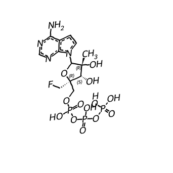 C[C@]1(O)C(n2ccc3c(N)ncnc32)O[C@](CF)(COP(=O)(O)OP(=O)(O)OP(=O)(O)O)[C@H]1O